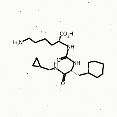 NCCCC[C@H](NC(=O)N[C@H](CC1CCCCC1)C(=O)NCC1CC1)C(=O)O